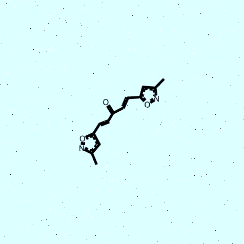 Cc1cc(C=CC(=O)C=Cc2cc(C)no2)on1